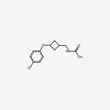 O=C(O)NCC1CC(Oc2ccc(Cl)cc2)C1